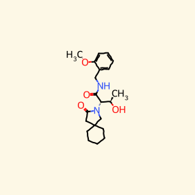 COc1ccccc1CNC(=O)[C@H]([C@@H](C)O)N1CC2(CCCCC2)CC1=O